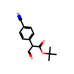 CC(C)(C)OC(=O)C([C]=O)c1ccc(C#N)cc1